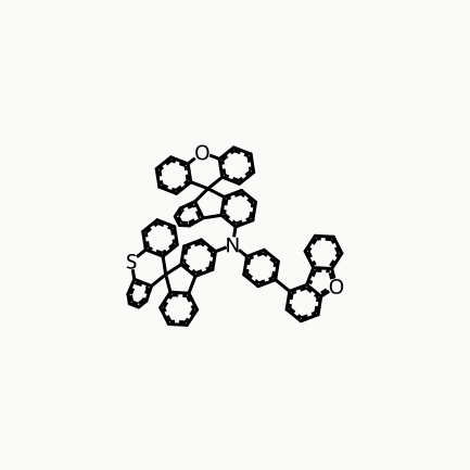 c1ccc2c(c1)Oc1ccccc1C21c2ccccc2-c2c(N(c3ccc(-c4cccc5oc6ccccc6c45)cc3)c3ccc4c(c3)-c3ccccc3C43c4ccccc4Sc4ccccc43)cccc21